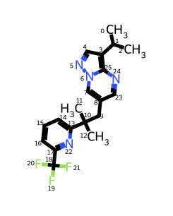 CC(C)c1cnn2cc(CC(C)(C)c3cccc(C(F)(F)F)n3)cnc12